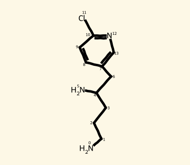 NCCCC(N)Cc1ccc(Cl)nc1